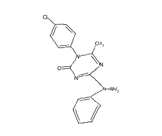 Cc1nc(N(N)c2ccccc2)nc(=O)n1-c1ccc(Cl)cc1